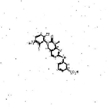 CN1C(=O)N(c2c(Cl)ccc(O)c2Cl)Cc2cnc(Nc3cccc(C(=O)O)c3)nc21